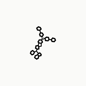 c1ccc(-c2ccc(N(c3ccc(-c4ccccc4)cc3)c3ccc4c(c3)Cc3cc(C(c5ccccc5)c5cccc6ccccc56)ccc3-4)cc2)cc1